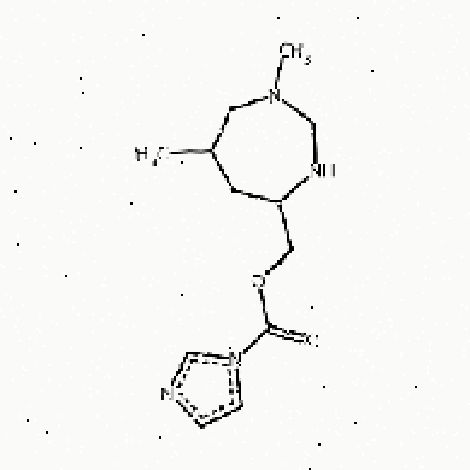 CC1CC(COC(=O)n2ccnc2)NCN(C)C1